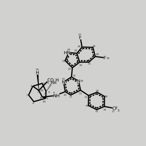 O=C(O)[C@H]1C2CCC(CC2)[C@@H]1Nc1cc(-c2ccc(C(F)(F)F)cc2)nc(-c2c[nH]c3c(F)cc(F)cc23)n1